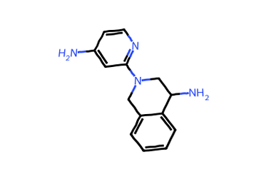 Nc1ccnc(N2Cc3ccccc3C(N)C2)c1